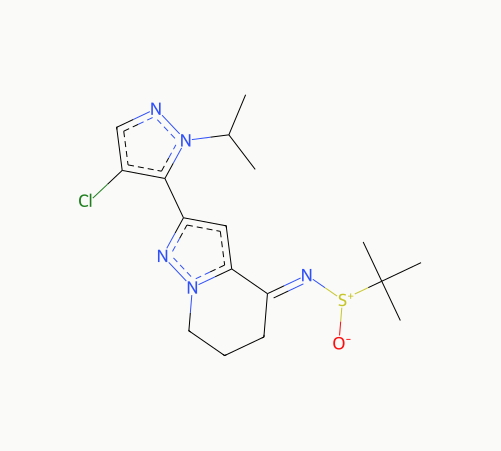 CC(C)n1ncc(Cl)c1-c1cc2n(n1)CCCC2=N[S+]([O-])C(C)(C)C